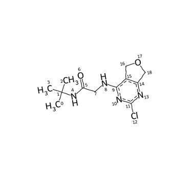 CC(C)(C)NC(=O)CNc1nc(Cl)nc2c1COC2